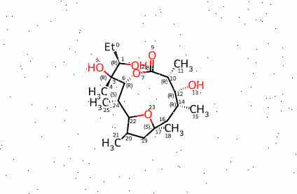 CC[C@@H](O)[C@@](C)(O)[C@@H]1OC(=O)[C@H](C)[C@H](O)[C@H](C)C[C@@]2(C)CC(C)C(O2)[C@@H]1C